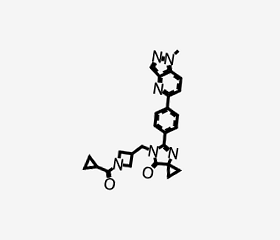 Cn1ncc2nc(-c3ccc(C4=NC5(CC5)C(=O)N4CC4CN(C(=O)C5CC5)C4)cc3)ccc21